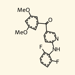 COc1cc(OC)cc(C(=O)c2ccc(Nc3c(F)cccc3F)nc2)c1